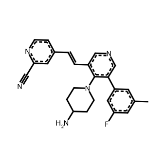 Cc1cc(F)cc(-c2cncc(C=Cc3ccnc(C#N)c3)c2N2CCC(N)CC2)c1